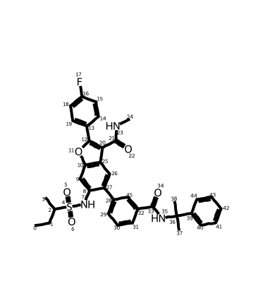 CCC(C)S(=O)(=O)Nc1cc2oc(-c3ccc(F)cc3)c(C(=O)NC)c2cc1-c1cccc(C(=O)NC(C)(C)c2ccccc2)c1